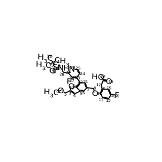 COCc1cc2cc(COc3ccc(F)cc3CC(=O)O)cc(-c3ccnc(CN[S+]([O-])C(C)(C)C)c3F)c2o1